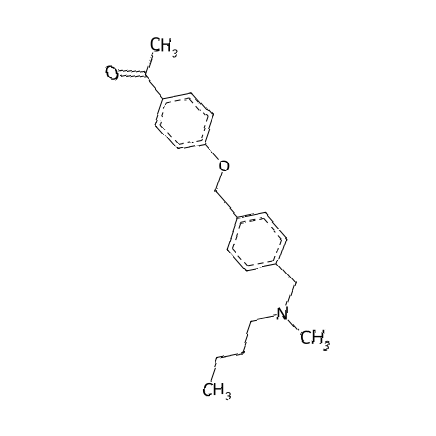 CCCCN(C)Cc1ccc(COc2ccc(C(C)=O)cc2)cc1